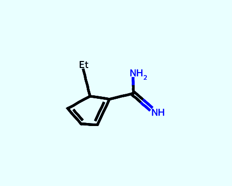 CCC1C=CC=C1C(=N)N